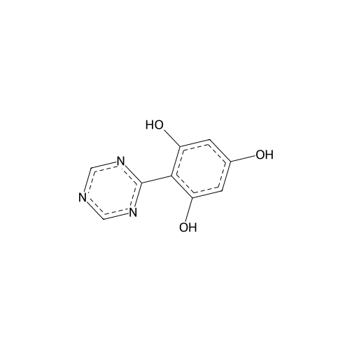 Oc1cc(O)c(-c2ncncn2)c(O)c1